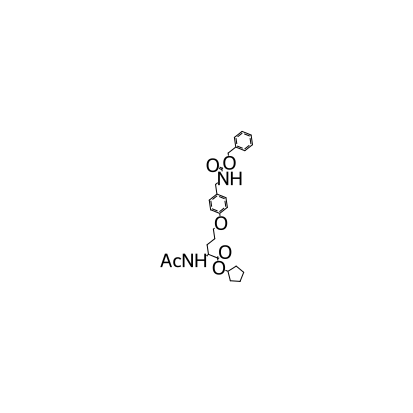 CC(=O)N[C@@H](CCCOc1ccc(CNC(=O)OCc2ccccc2)cc1)C(=O)OC1CCCC1